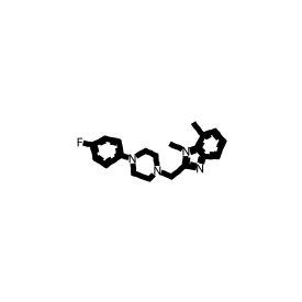 Cc1cccc2nc(CN3CCN(c4ccc(F)cc4)CC3)n(C)c12